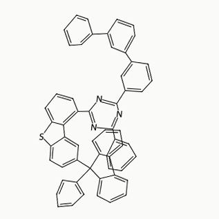 c1ccc(-c2cccc(-c3cccc(-c4nc(-c5ccccc5)nc(-c5cccc6sc7ccc(C8(c9ccccc9)c9ccccc9-c9ccccc98)cc7c56)n4)c3)c2)cc1